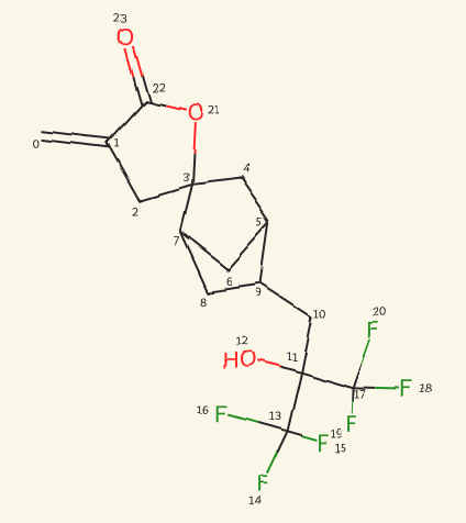 C=C1CC2(CC3CC2CC3CC(O)(C(F)(F)F)C(F)(F)F)OC1=O